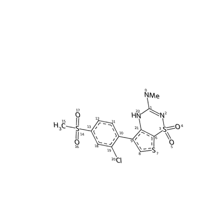 CNC1=NS(=O)(=O)c2scc(-c3ccc(S(C)(=O)=O)cc3Cl)c2N1